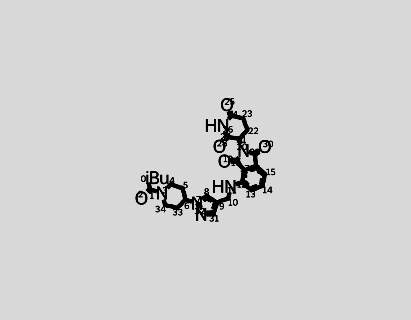 CCC(C)C(=O)N1CCC(n2cc(CNc3cccc4c3C(=O)N(C3CCC(=O)NC3=O)C4=O)cn2)CC1